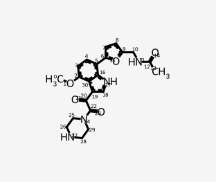 COc1ccc(-c2ccc(CNC(C)=O)o2)c2[nH]cc(C(=O)C(=O)N3CCNCC3)c12